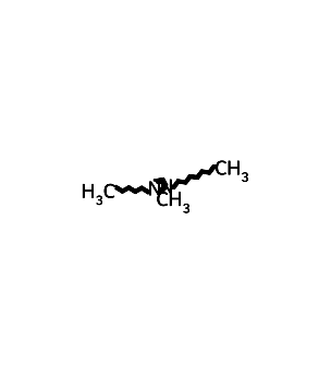 CCCCCCCCC[n+]1ccn(CCCCCCC)c1C